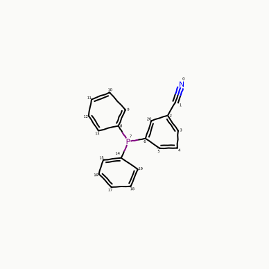 N#Cc1cc[c]c(P(c2ccccc2)c2ccccc2)c1